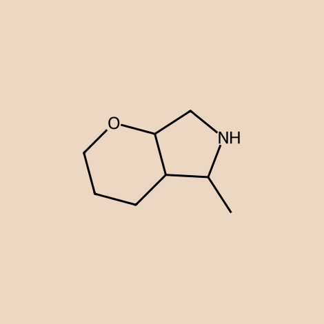 CC1NCC2OCCCC12